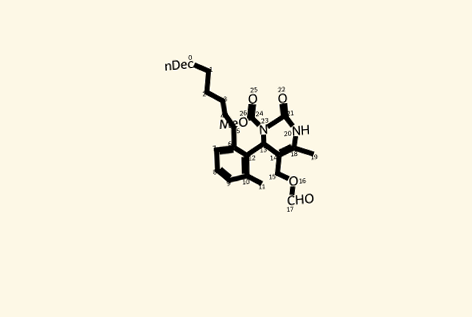 CCCCCCCCCCCCCCCc1cccc(C)c1C1C(COC=O)=C(C)NC(=O)N1C(=O)OC